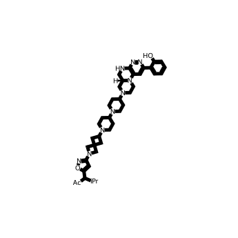 CC(=O)C(c1cc(N2CC3(CC(N4CCC(N5CCC(N6CCN7c8cc(-c9ccccc9O)nnc8NC[C@H]7C6)CC5)CC4)C3)C2)no1)C(C)C